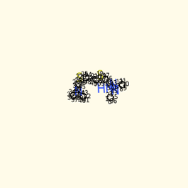 C1=CCC(C2=NC(c3ccccc3)=NC(c3ccc4sc5cc(-c6ccc7sc8ccc(-n9c%10ccccc%10c%10ccccc%109)cc8c7c6)ccc5c4c3)N2)C=C1